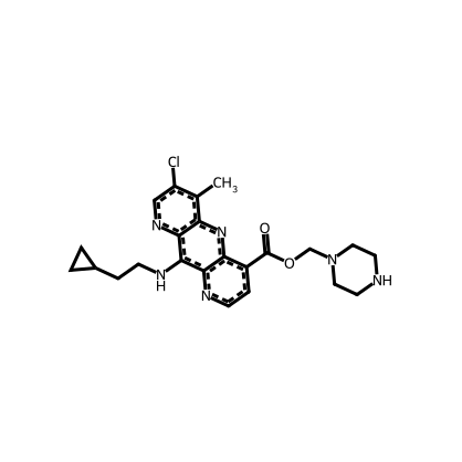 Cc1c(Cl)cnc2c(NCCC3CC3)c3nccc(C(=O)OCN4CCNCC4)c3nc12